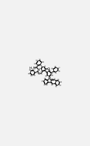 N/C(=N\C(=N/Cc1cccc2oc3c(-c4ccccc4)cc(-n4c5ccccc5c5cc6ccccc6cc54)cc3c12)c1ccccc1)c1ccccc1